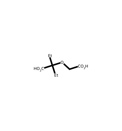 CCC(CC)(OCC(=O)O)C(=O)O